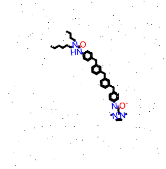 CCCCCCN(CCCC)C(=O)Nc1ccc(Cc2cccc(Cc3cccc(Cc4ccc(/N=C(\[O-])c5n(C)cc[n+]5C)cc4)c3)c2)cc1